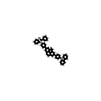 CC1(C)c2cc(-c3ccc(-n4c(-c5ccccc5)nc5ccccc54)cc3)cc3ccc4cc(-c5ccc(-n6c7ccccc7c7ccccc76)cc5)cc1c4c23